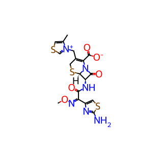 CO/N=C(\C(=O)N[C@@H]1C(=O)N2C(C(=O)[O-])=C(C[n+]3cscc3C)CS[C@H]12)c1csc(N)n1